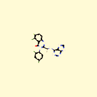 C[C@H](Nc1ncnc2[nH]cnc12)c1nc2ccc(F)c(Cl)c2c(=O)n1-c1ccc(Cl)cc1Cl